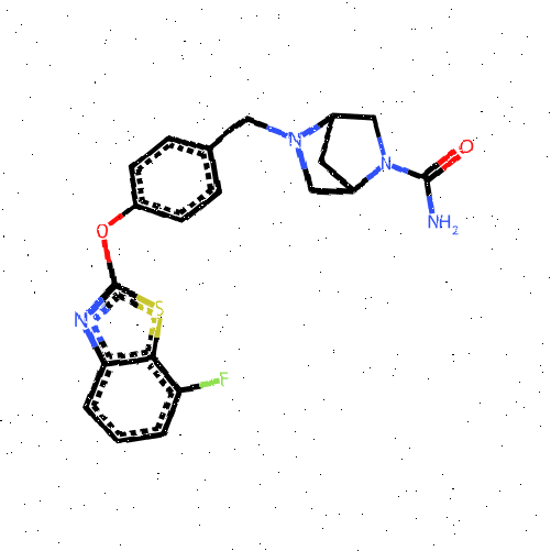 NC(=O)N1CC2CC1CN2Cc1ccc(Oc2nc3cccc(F)c3s2)cc1